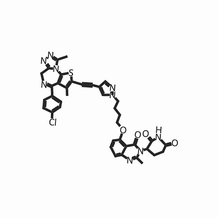 Cc1c(C#Cc2cnn(CCCCOc3cccc4nc(C)n(C5CCC(=O)NC5=O)c(=O)c34)c2)sc2c1C(c1ccc(Cl)cc1)=NCc1nnc(C)n1-2